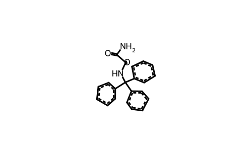 NC(=O)C(=O)NC(c1ccccc1)(c1ccccc1)c1ccccc1